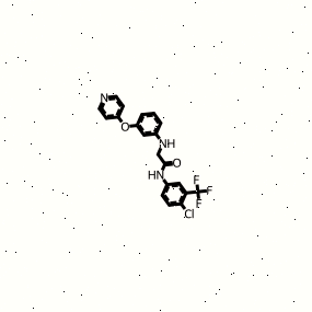 O=C(CNc1cccc(Oc2ccncc2)c1)Nc1ccc(Cl)c(C(F)(F)F)c1